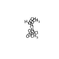 CC1COCCN1c1nc(Cl)cn(C2CCN(C(=O)OC(C)(C)C)CC2)c1=O